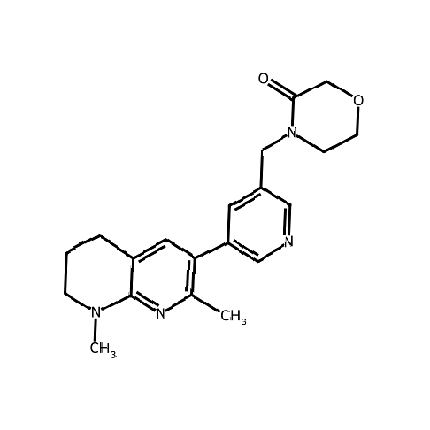 Cc1nc2c(cc1-c1cncc(CN3CCOCC3=O)c1)CCCN2C